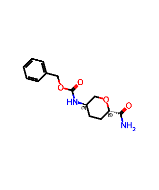 NC(=O)[C@@H]1CC[C@@H](NC(=O)OCc2ccccc2)CO1